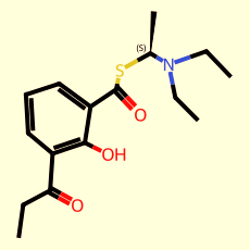 CCC(=O)c1cccc(C(=O)S[C@@H](C)N(CC)CC)c1O